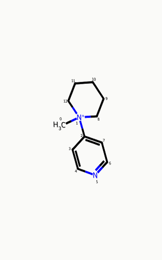 C[N+]1(c2ccncc2)CCCCC1